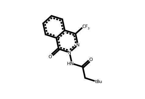 CC(C)(C)CC(=O)Nn1nc(C(F)(F)F)c2ccccc2c1=O